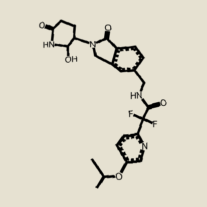 CC(C)Oc1ccc(C(F)(F)C(=O)NCc2ccc3c(c2)CN(C2CCC(=O)NC2O)C3=O)nc1